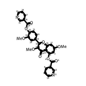 COc1cc(OC(=O)c2cccnc2)c2c(=O)c(OC)c(-c3ccc(OC(=O)c4cccnc4)c(OC)c3)oc2c1